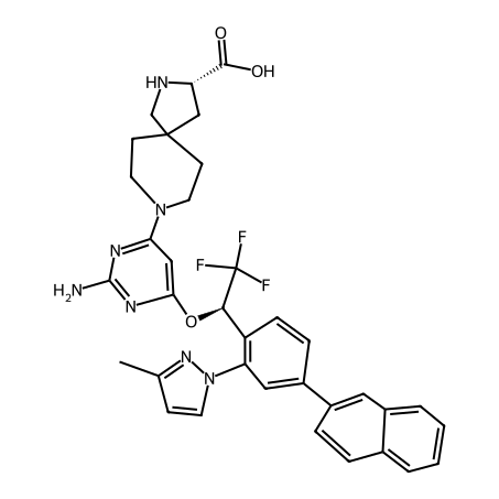 Cc1ccn(-c2cc(-c3ccc4ccccc4c3)ccc2[C@@H](Oc2cc(N3CCC4(CC3)CN[C@H](C(=O)O)C4)nc(N)n2)C(F)(F)F)n1